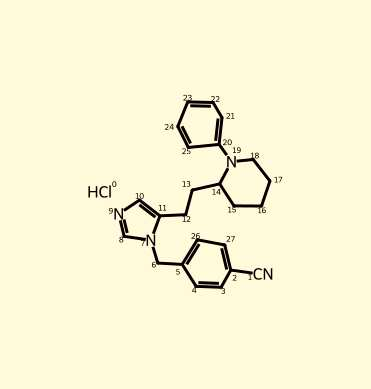 Cl.N#Cc1ccc(Cn2cncc2CCC2CCCCN2c2ccccc2)cc1